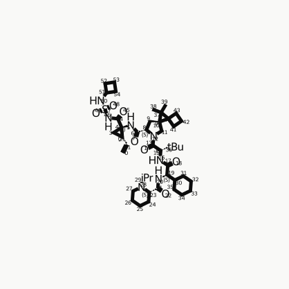 C=C[C@@H]1C[C@]1(NC(=O)[C@@H]1C[C@@]2(CN1C(=O)[C@@H](NC(=O)[C@@H](NC(=O)[C@@H]1CCCCN1C(C)C)C1CCCCC1)C(C)(C)C)C(C)(C)C21CCC1)C(=O)NS(=O)(=O)NC1CCC1